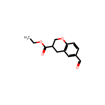 CCOC(=O)C1COc2ccc(C=O)cc2C1